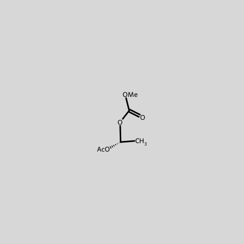 COC(=O)O[C@H](C)OC(C)=O